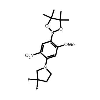 COc1cc(N2CCC(F)(F)C2)c([N+](=O)[O-])cc1B1OC(C)(C)C(C)(C)O1